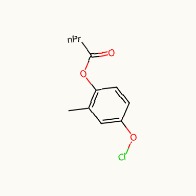 CCCC(=O)Oc1ccc(OCl)cc1C